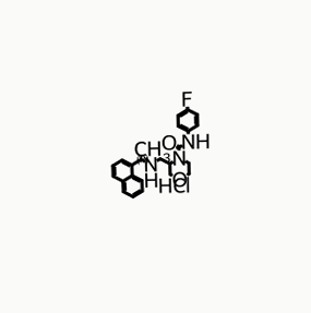 C[C@@H](NCC1COCCN1C(=O)Nc1ccc(F)cc1)c1cccc2ccccc12.Cl